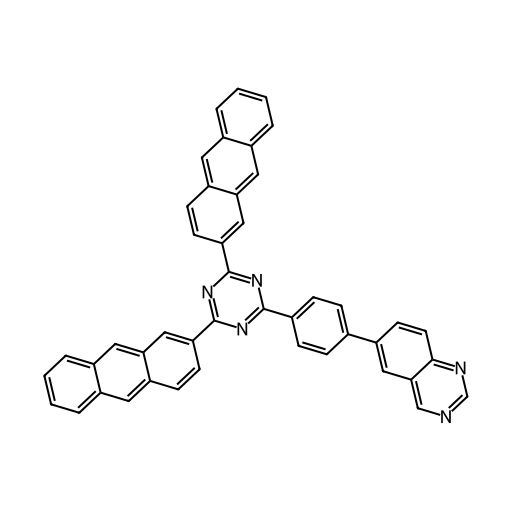 c1ccc2cc3cc(-c4nc(-c5ccc(-c6ccc7ncncc7c6)cc5)nc(-c5ccc6cc7ccccc7cc6c5)n4)ccc3cc2c1